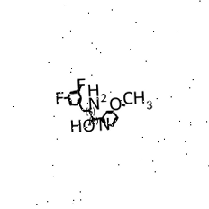 CCOc1ccnc([C@@H](O)[C@@H](N)Cc2cc(F)cc(F)c2)c1